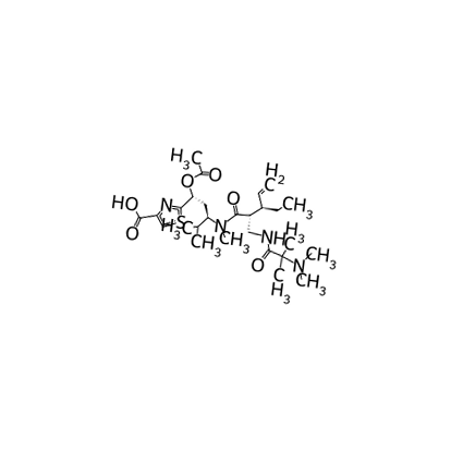 C=C[C@@H](CC)[C@H](CNC(=O)C(C)(C)N(C)C)C(=O)N(C)[C@H](C[C@@H](OC(C)=O)c1nc(C(=O)O)cs1)C(C)C